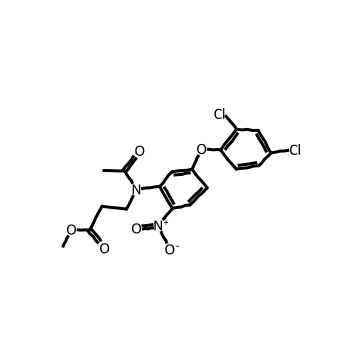 COC(=O)CCN(C(C)=O)c1cc(Oc2ccc(Cl)cc2Cl)ccc1[N+](=O)[O-]